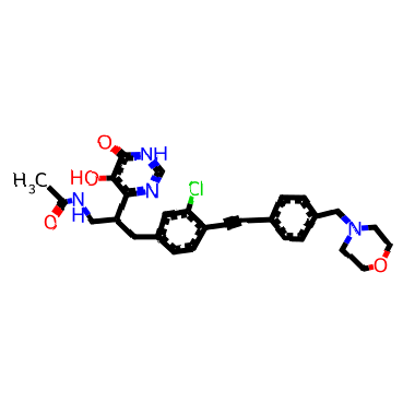 CC(=O)NCC(Cc1ccc(C#Cc2ccc(CN3CCOCC3)cc2)c(Cl)c1)c1nc[nH]c(=O)c1O